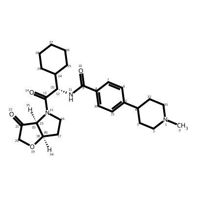 CN1CCC(c2ccc(C(=O)N[C@H](C(=O)N3CC[C@H]4OCC(=O)[C@H]43)C3CCCCC3)cc2)CC1